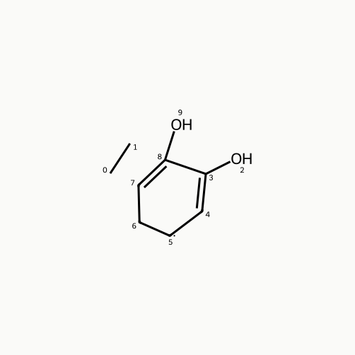 CC.OC1=C[CH]CC=C1O